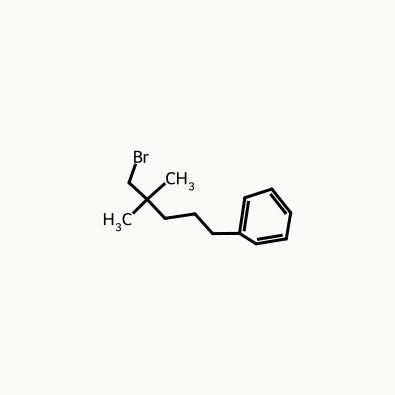 CC(C)(CBr)CCCc1ccccc1